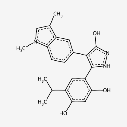 Cc1cn(C)c2ccc(-c3c(O)n[nH]c3-c3cc(C(C)C)c(O)cc3O)cc12